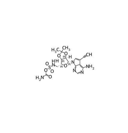 C#Cc1cn([C@@H]2O[C@H](CNS(=O)(=O)OC(N)=O)[C@H]3OC(C)(C)O[C@H]32)c2ncnc(N)c12